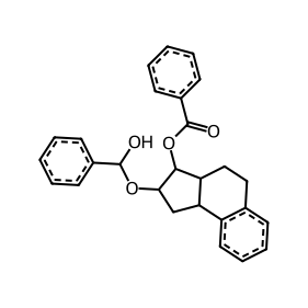 O=C(OC1C(OC(O)c2ccccc2)CC2c3ccccc3CCC21)c1ccccc1